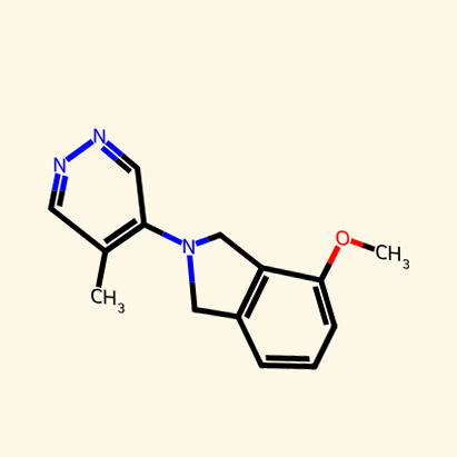 COc1cccc2c1CN(c1cnncc1C)C2